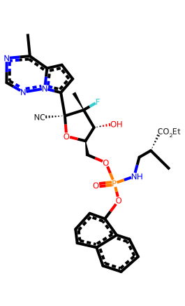 CCOC(=O)[C@H](C)CNP(=O)(OC[C@H]1O[C@@](C#N)(c2ccc3c(C)ncnn23)[C@](C)(F)[C@@H]1O)Oc1cccc2ccccc12